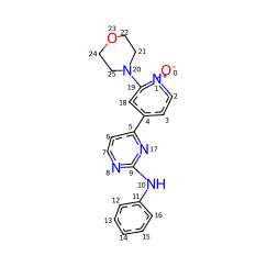 [O-][n+]1ccc(-c2ccnc(Nc3ccccc3)n2)cc1N1CCOCC1